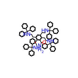 NC(=O)c1c(CCNC(c2ccccc2)(c2ccccc2)c2ccccc2)c(CCNC(c2ccccc2)(c2ccccc2)c2ccccc2)cc(CCNC(c2ccccc2)(c2ccccc2)c2ccccc2)c1CCNC(c1ccccc1)(c1ccccc1)c1ccccc1